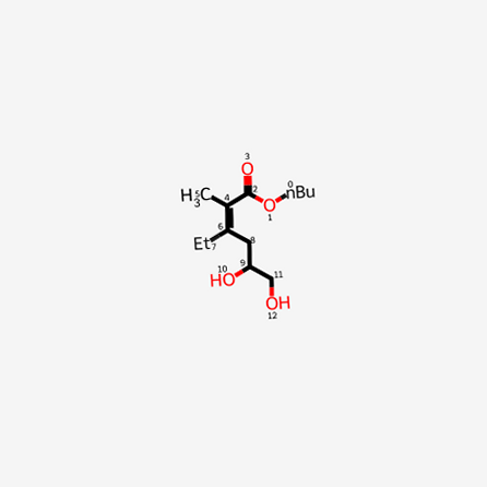 CCCCOC(=O)C(C)=C(CC)CC(O)CO